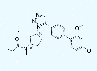 CCC(=O)N[C@H]1CC[C@@H](n2nncc2-c2ccc(-c3ccc(OC)cc3OC)cc2)C1